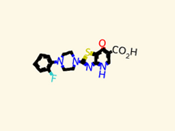 O=C(O)c1c[nH]c2nc(N3CCN(c4ccccc4F)CC3)sc2c1=O